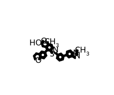 Cc1cc2nc(-c3cccc(-c4ccc5c(cnn5C)c4)c3)sc2c(-c2ccc3c(c2)CCCO3)c1CC(=O)O